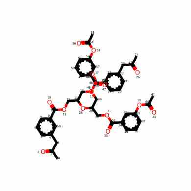 CC(=O)Cc1cccc(C(=O)OCC(COC(=O)c2cccc(CC(C)=O)c2)OC(COC(=O)c2cccc(OC(C)=O)c2)COC(=O)c2cccc(OC(C)=O)c2)c1